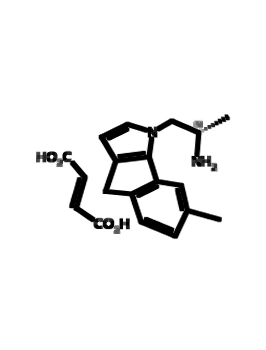 Cc1ccc2c(c1)-c1c(ccn1C[C@H](C)N)C2.O=C(O)C=CC(=O)O